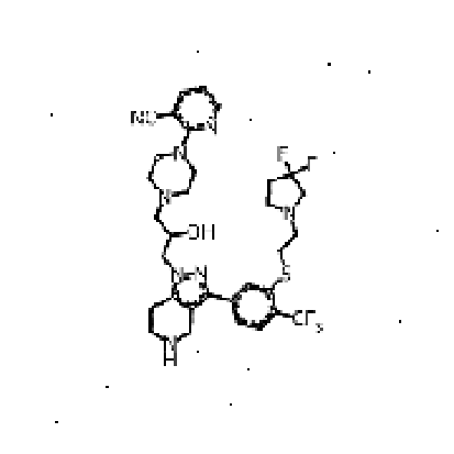 N#Cc1cccnc1N1CCN(CC(O)Cn2nc(-c3ccc(C(F)(F)F)c(SCCN4CCC(F)(F)C4)c3)c3c2CCNC3)CC1